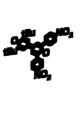 CC(C)(C)C1=CC(=C2C=C(c3ccc([N+](=O)[O-])cc3)C(=O)C(c3ccc([N+](=O)[O-])cc3)=C2)C=C(C(C)(C)C)C1=O